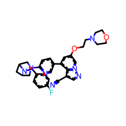 N#Cc1cnn2cc(OCCN3CCOCC3)cc(-c3ccc(N4CC5CC(C4)N5Cc4ccc(F)cc4)nc3)c12